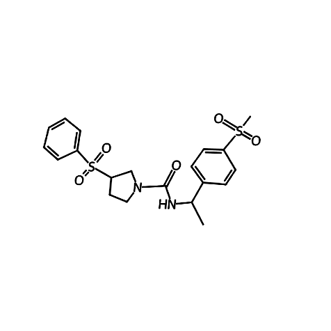 CC(NC(=O)N1CCC(S(=O)(=O)c2ccccc2)C1)c1ccc(S(C)(=O)=O)cc1